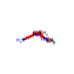 CC(C)(C)OC(=O)NCCCCCC(=O)OCC(COP(=O)(O)OCCNC(=O)CCOCCOCCOCCOCCN)OC(C)(C)C